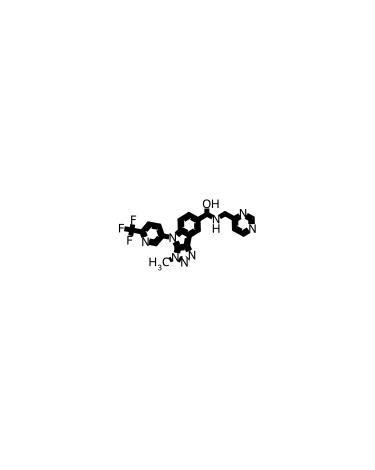 Cn1nnc2c3cc(C(O)NCc4ccncn4)ccc3n(-c3ccc(C(F)(F)F)nc3)c21